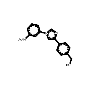 CC(=O)Nc1cccc(-n2cnc(-c3ccc(CO)cc3)c2)c1